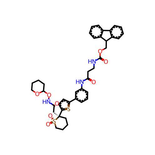 O=C(C[C@]1(c2ccc(-c3cccc(NC(=O)CCNC(=O)OCC4c5ccccc5-c5ccccc54)c3)s2)CCCCS1(=O)=O)NOC1CCCCO1